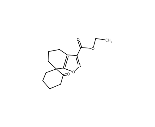 CCOC(=O)c1noc2c1CCCC21CCCCC1=O